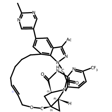 CC(=O)c1nn2c3c(cc(-c4cnc(C)nc4)cc13)CCCC/C=C/COC[C@@]13C[C@@H](C(=O)Nc4nc(C(F)(F)F)ccc4C)N(C(=O)C2)[C@@H]1C3